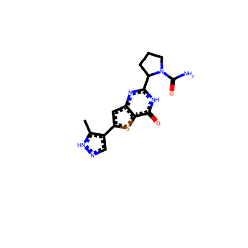 Cc1[nH]ncc1-c1cc2nc(C3CCCN3C(N)=O)[nH]c(=O)c2s1